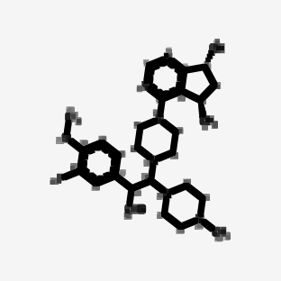 C[C@@H]1C[C@@H](O)c2ncnc(N3CCN(C(C(C=O)c4ccc(OC(F)(F)F)c(F)c4)N4CCN(C)CC4)CC3)c21